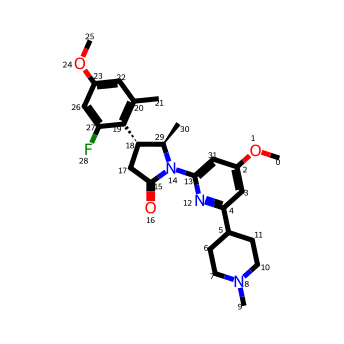 COc1cc(C2CCN(C)CC2)nc(N2C(=O)C[C@H](c3c(C)cc(OC)cc3F)[C@H]2C)c1